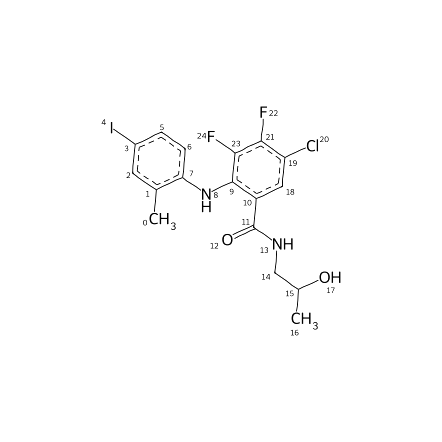 Cc1cc(I)ccc1Nc1c(C(=O)NCC(C)O)cc(Cl)c(F)c1F